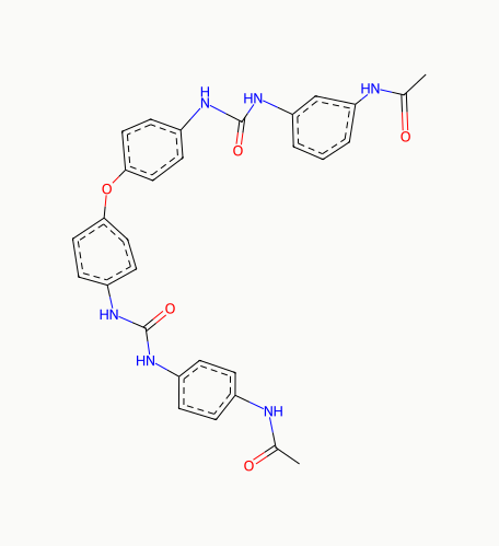 CC(=O)Nc1ccc(NC(=O)Nc2ccc(Oc3ccc(NC(=O)Nc4cccc(NC(C)=O)c4)cc3)cc2)cc1